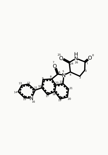 O=C1CCC(N2C(=O)c3cc(-c4ccccn4)cc4cccc2c34)C(=O)N1